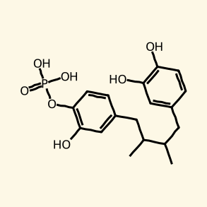 CC(Cc1ccc(O)c(O)c1)C(C)Cc1ccc(OP(=O)(O)O)c(O)c1